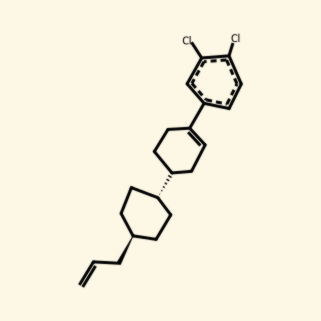 C=CC[C@H]1CC[C@H](C2CC=C(c3ccc(Cl)c(Cl)c3)CC2)CC1